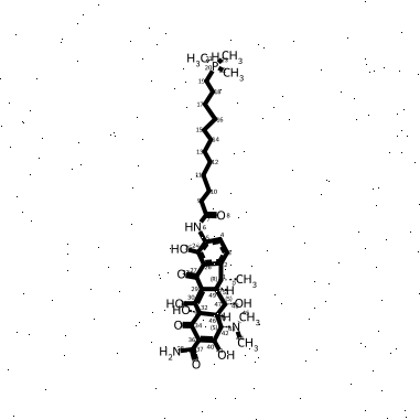 C[C@H]1c2ccc(NC(=O)CCCCCCCCCCC[PH](C)(C)C)c(O)c2C(=O)C2=C(O)[C@]3(O)C(=O)C(C(N)=O)=C(O)[C@@H](N(C)C)[C@@H]3[C@@H](O)[C@@H]21